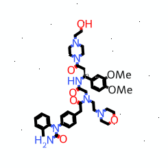 COc1ccc([C@H](CC(=O)N2CCN(CCO)CC2)NC(=O)CN(CCN2CCOCC2)C(=O)Cc2ccc(N(C(N)=O)c3ccccc3C)cc2)cc1OC